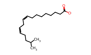 CC(C)CC/C=C\C/C=C\CCCCCCCC([O])=O